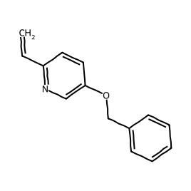 C=Cc1ccc(OCc2ccccc2)cn1